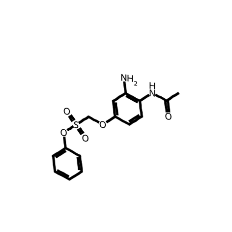 CC(=O)Nc1ccc(OCS(=O)(=O)Oc2ccccc2)cc1N